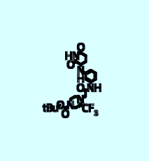 CC(C)(C)OC(=O)N1CCN(CC(=O)Nc2cccc(NC3CCC(=O)NC3=O)c2)[C@@H](C(F)(F)F)C1